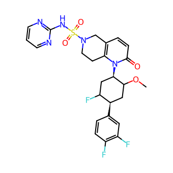 COC1C[C@@H](c2ccc(F)c(F)c2)C(F)C[C@H]1n1c2c(ccc1=O)CN(S(=O)(=O)Nc1ncccn1)CC2